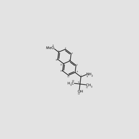 COc1ccc2cc(C(N)C(C)(C)O)ccc2c1